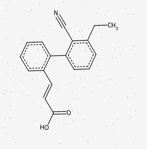 CCc1cccc(-c2ccccc2/C=C/C(=O)O)c1C#N